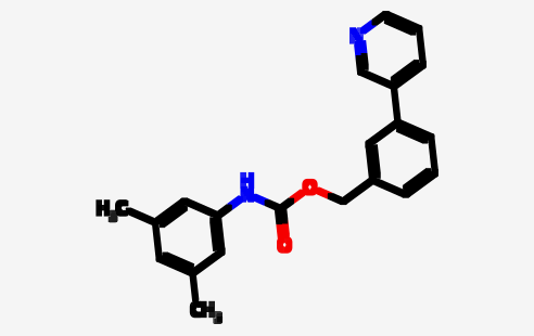 Cc1cc(C)cc(NC(=O)OCc2cccc(-c3cccnc3)c2)c1